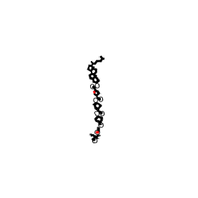 CCC1(COCCOc2ccc(OC(=O)c3ccc(OC(=O)c4ccc(C(=O)OC5CCC6(C)C(=CCC7C6CCC6(C)C(C(C)CCCC(C)C)CCC76)C5)cc4)cc3)cc2)COC1